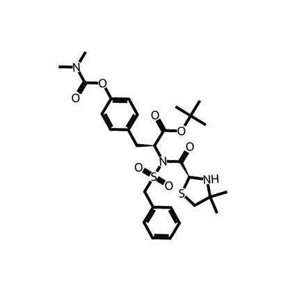 CN(C)C(=O)Oc1ccc(C[C@@H](C(=O)OC(C)(C)C)N(C(=O)[C@H]2NC(C)(C)CS2)S(=O)(=O)Cc2ccccc2)cc1